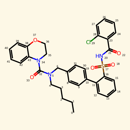 CCCCCN(Cc1ccc(-c2ccccc2S(=O)(=O)NC(=O)c2ccccc2Cl)cc1)C(=O)N1CCOc2ccccc21